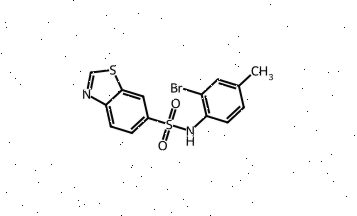 Cc1ccc(NS(=O)(=O)c2ccc3ncsc3c2)c(Br)c1